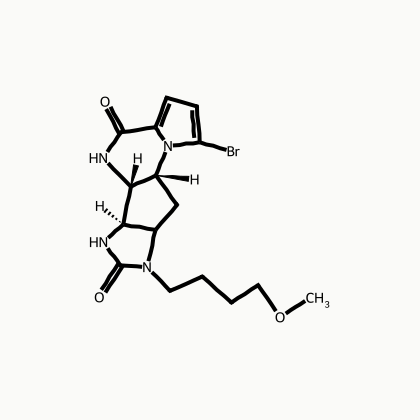 COCCCCN1C(=O)N[C@@H]2C1C[C@@H]1[C@H]2NC(=O)c2ccc(Br)n21